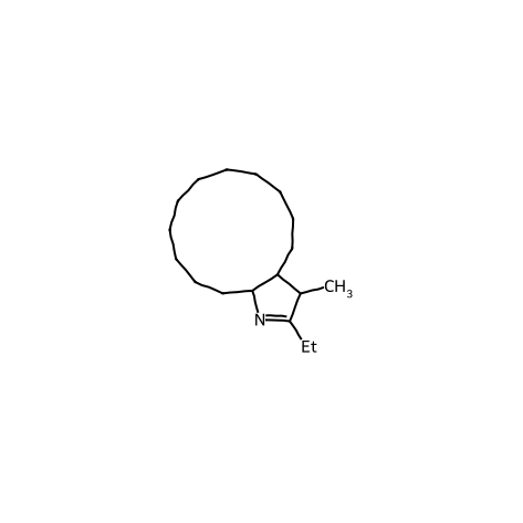 CCC1=NC2CCCCCCCCCCCC2C1C